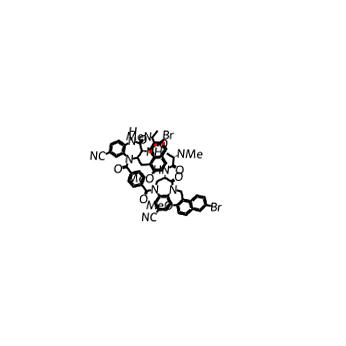 CN[C@@H](C)C(=O)N[C@H]1CN(C(=O)c2ccc(C(=O)N3c4cc(C#N)ccc4NC(=O)[C@@H](NC(=O)[C@H](C)NC)C3Cc3c(OC)ccc4cc(Br)ccc34)cc2)c2cc(C#N)ccc2N(Cc2c(OC)ccc3cc(Br)ccc23)C1=O